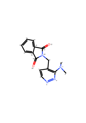 CN(C)c1nnccc1CN1C(=O)c2ccccc2C1=O